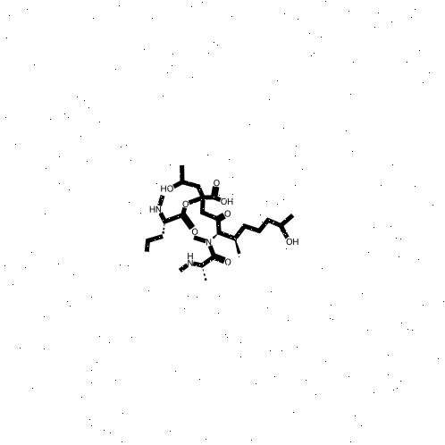 CCC[C@H](NC)C(=O)OC(CC(=O)[C@H]([C@H](C)CCCC(C)O)N(C)C(=O)[C@H](C)NC)(CC(C)O)C(=O)O